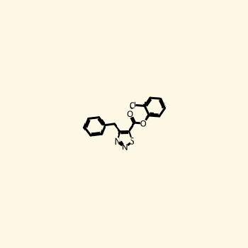 O=C(Oc1ccccc1Cl)c1snnc1Cc1ccccc1